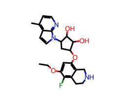 CCOc1cc(OC2CC(n3ccc4c(C)ccnc43)C(O)C2O)c2c(c1F)CCNC2